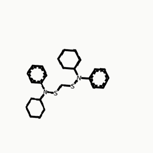 c1ccc(N(SCSN(c2ccccc2)C2CCCCC2)C2CCCCC2)cc1